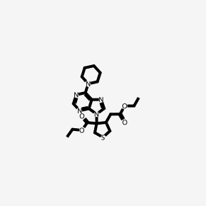 CCOC(=O)CC1CSCC1(C(=O)OCC)n1cnc2c(N3CCCCC3)ncnc21